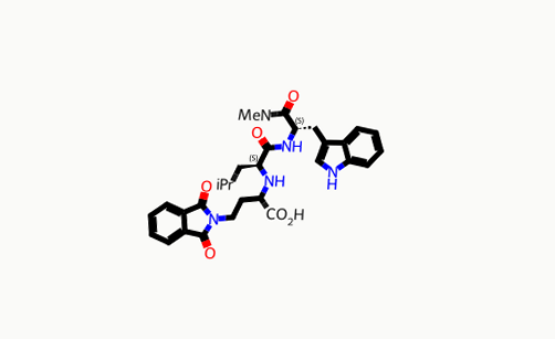 CNC(=O)[C@H](Cc1c[nH]c2ccccc12)NC(=O)[C@H](CC(C)C)NC(CCN1C(=O)c2ccccc2C1=O)C(=O)O